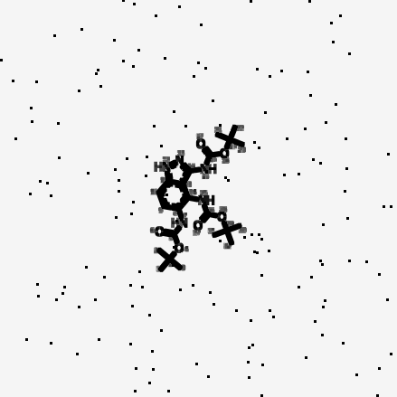 CC(C)(C)OC(=O)Nc1ccc2[nH]nc(NC(=O)OC(C)(C)C)c2c1NC(=O)OC(C)(C)C